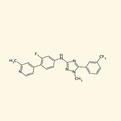 Cc1cc(-c2ccc(Nc3nc(-c4cccc(C(F)(F)F)c4)n(C)n3)cc2F)ccn1